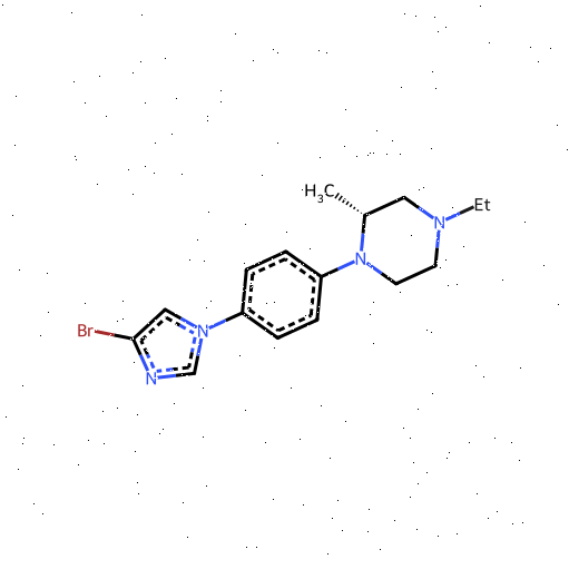 CCN1CCN(c2ccc(-n3cnc(Br)c3)cc2)[C@H](C)C1